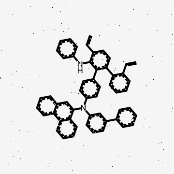 C=Cc1ccccc1-c1ccc(C=C)c(Nc2ccccc2)c1-c1ccc(N(c2cccc(-c3ccccc3)c2)c2cc3ccccc3c3ccccc23)cc1